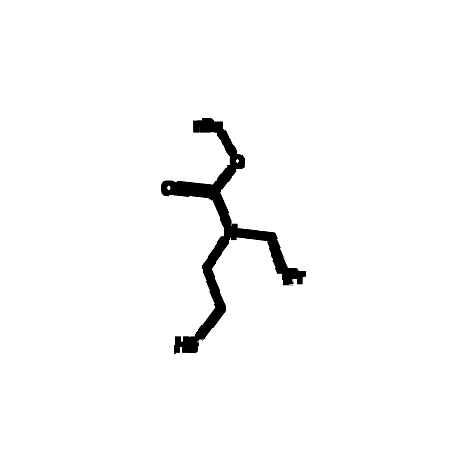 CCCCOC(=O)N(CCS)CC(C)C